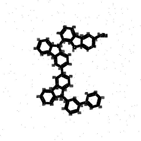 CCCCc1ccc2oc3c(-n4c5ccccc5c5cc(-c6ccc7c(c6)c6ccccc6n7-c6cccc(-c7ccccc7)c6)ccc54)cccc3c2c1